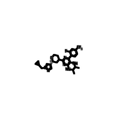 CC1Nc2nc(C3CCO[C@@H](c4cnn(CC5CC5)c4)C3)nc(-c3ccc(C(F)(F)F)cc3F)c2NC1C